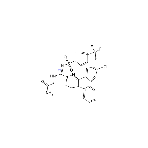 NC(=O)CN/C(=N/S(=O)(=O)c1ccc(C(F)(F)F)cc1)N1CCC(c2ccccc2)C(c2ccc(Cl)cc2)=N1